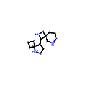 C1CNCC2(C1)CNC2C1CCNC12CCC2